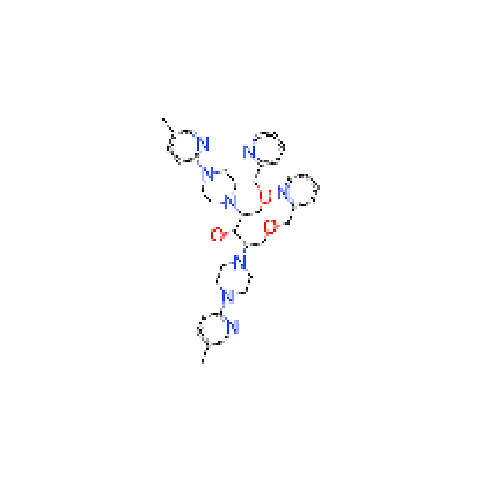 Cc1ccc(N2CCN(C(COCc3ccccn3)C(=O)C(COCc3ccccn3)N3CCN(c4ccc(C)cn4)CC3)CC2)nc1